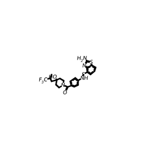 CC(CC1(O)CCN(C(=O)c2ccc(NSc3cccc4sc(N)nc34)cc2)CC1)C(F)(F)F